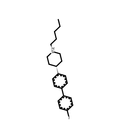 CCCCC[Si@H]1CC[C@H](c2ccc(-c3ccc(I)cc3)cc2)CC1